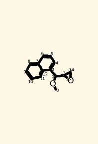 COC(c1cccc2ccccc12)C1CO1